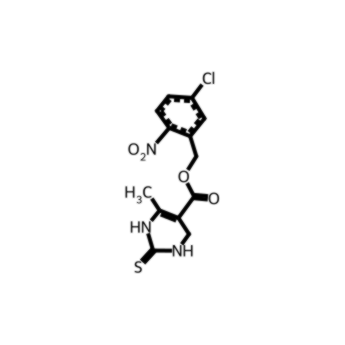 CC1=C(C(=O)OCc2cc(Cl)ccc2[N+](=O)[O-])CNC(=S)N1